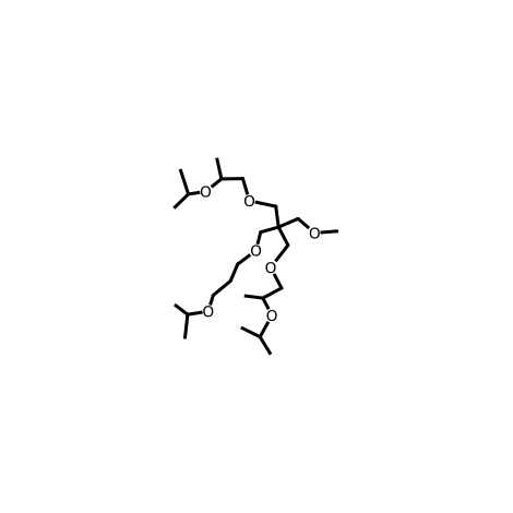 COCC(COCCCOC(C)C)(COCC(C)OC(C)C)COCC(C)OC(C)C